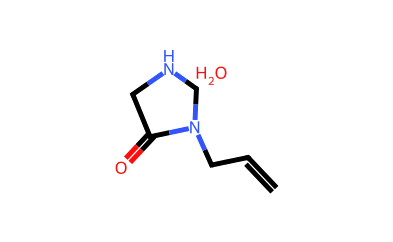 C=CCN1CNCC1=O.O